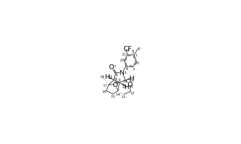 Cc1ccc(N2C(=O)[C@@H]3[C@@H]4[C@H]2OCC[C@@]42CC[C@]3(C)O2)cc1C(F)(F)F